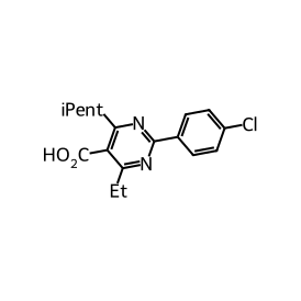 CCCC(C)c1nc(-c2ccc(Cl)cc2)nc(CC)c1C(=O)O